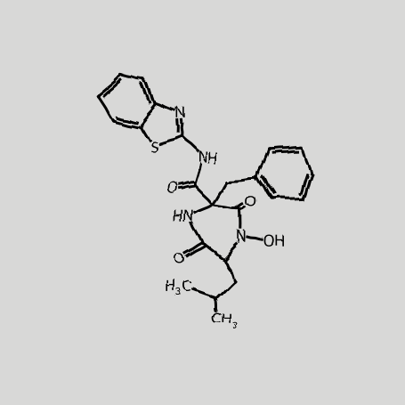 CC(C)CC1C(=O)NC(Cc2ccccc2)(C(=O)Nc2nc3ccccc3s2)C(=O)N1O